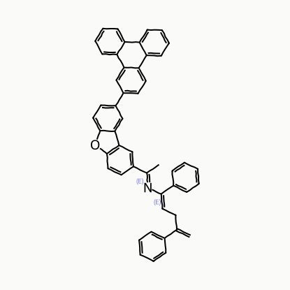 C=C(C/C=C(/N=C(\C)c1ccc2oc3ccc(-c4ccc5c6ccccc6c6ccccc6c5c4)cc3c2c1)c1ccccc1)c1ccccc1